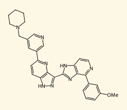 COc1cccc(-c2nccc3[nH]c(-c4n[nH]c5ccc(-c6cncc(CN7CCCCC7)c6)nc45)nc23)c1